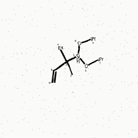 C=CC(C)(CC)[SiH](OC(C)C)OC(C)C